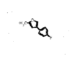 [CH2]c1cc(-c2ccc(F)cc2)co1